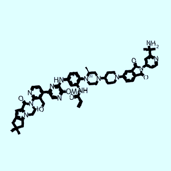 C=CC(=O)Nc1cc(Nc2nc(-c3ccnc(N4CCn5c(cc6c5CC(C)(C)C6)C4=O)c3CO)cnc2OC)ccc1N1CCN(C2CCN(c3ccc4c(c3)C(=O)N(c3ccnc(C(C)(C)N)c3)C4=O)CC2)C[C@@H]1C